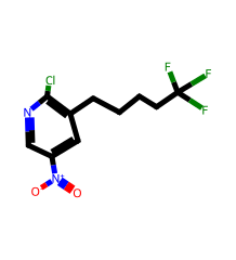 O=[N+]([O-])c1cnc(Cl)c(CCCCC(F)(F)F)c1